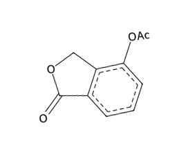 CC(=O)Oc1cccc2c1COC2=O